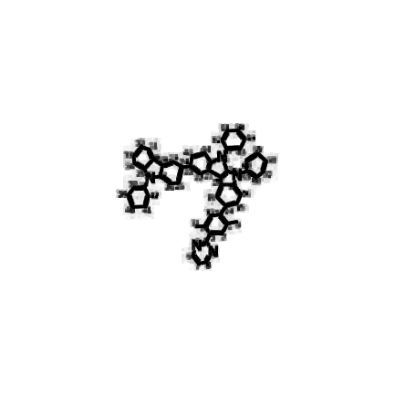 Cc1cc(-c2ncccn2)c(C)cc1-c1ccc2c(c1)c1c3cc(-c4ccc5c(c4)c4ccccc4n5-c4ccccc4)ccc3n(-c3ccccc3)c1n2-c1ccccc1